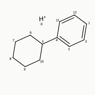 [H+].c1ccc(C2CCCCC2)cc1